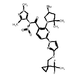 Cc1nn(C)cc1N(C(=O)c1ccc(-n2ccc(OCC3(C(C)(F)F)CC3)n2)nc1N1C[C@@H](C(C)(C)C)CC1(C)C)[SH](=O)=O